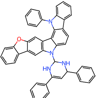 C1=C(c2ccccc2)NC(n2c3cc4c(cc3c3c5c(ccc32)c2ccccc2n5-c2ccccc2)oc2ccccc24)NC1c1ccccc1